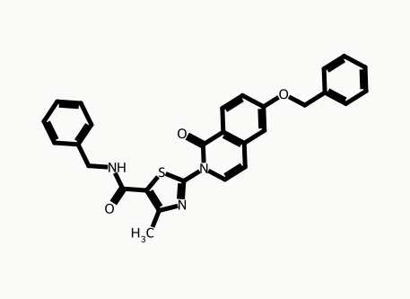 Cc1nc(-n2ccc3cc(OCc4ccccc4)ccc3c2=O)sc1C(=O)NCc1ccccc1